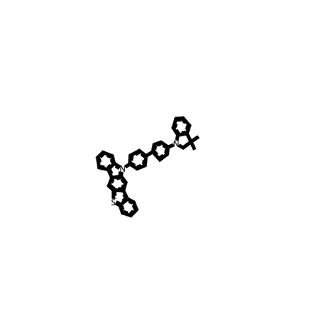 CC1(C)CN(c2ccc(-c3ccc(-n4c5ccccc5c5cc6sc7ccccc7c6cc54)cc3)cc2)c2ccccc21